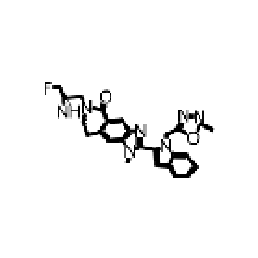 Cc1nnc(Cn2c(-c3nc4cc5c(cc4n3C)CCN(C[C@H](N)CF)C5=O)cc3ccccc32)o1